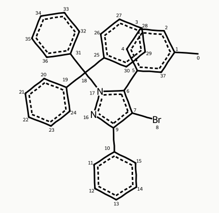 Cc1cccc(-c2c(Br)c(-c3ccccc3)nn2C(c2ccccc2)(c2ccccc2)c2ccccc2)c1